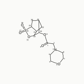 O=C(CN1CCOCC1)OC1C2CC3C1OS(=O)(=O)C3C2